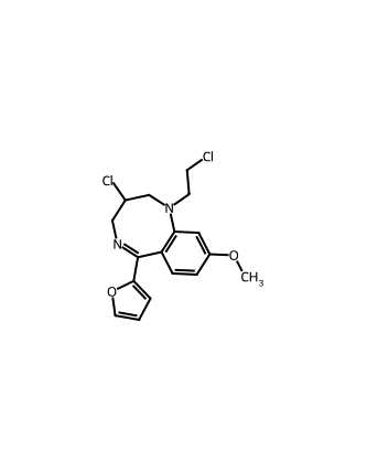 COc1ccc2c(c1)N(CCCl)CC(Cl)C/N=C\2c1ccco1